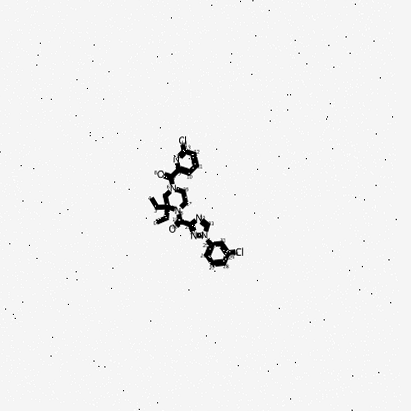 CCC1(CC)CN(C(=O)c2cccc(Cl)n2)CCN1C(=O)c1ncn(-c2cccc(Cl)c2)n1